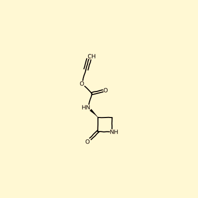 C#COC(=O)N[C@H]1CNC1=O